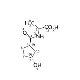 CC(NC(=O)[C@@H]1CC[C@@H](O)C1)C(=O)O